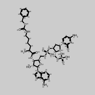 Nc1ccn([C@H]2C[C@H](OP(=O)(O)OC[C@H]3O[C@@H](n4cnc5c(N)ncnc54)[C@H](O)[C@@H]3OC(=O)C(N)CCCCNC(=O)OCc3ccccc3)[C@@H](COP(=O)(O)O)O2)c(=O)n1